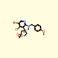 COc1ccc(CN2C[C@@]3(CC[C@@]4(CO4)C3)c3c2ncc(Br)c3Cl)cc1